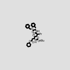 CC(C)C(CC(=O)C(CC(=O)OC1CCCCC1)NC(=O)OC(C)(C)C)C(=O)N[C@@H](Cc1ccccc1)C(=O)OCc1ccccc1